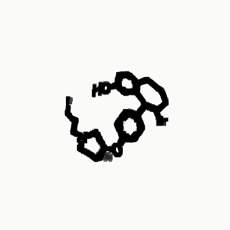 Oc1ccc2c(c1)C(c1ccc(O[C@H]3CCN(CCCF)C3)cc1)=C(Br)CCC2